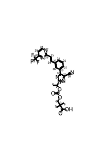 CC(OC(=O)OCC(C)(C)C(=O)O)n1nc(C#N)c(-c2cccc(C=Cc3nccc(C(F)(F)F)n3)c2)n1